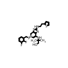 CC(C)(CO)NC1=CN(SCc2cccc(F)c2F)Cc2sc(NCCc3cccs3)nc21